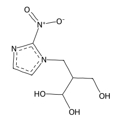 O=[N+]([O-])c1nccn1CC(CO)C(O)O